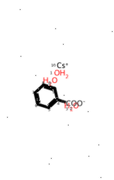 O.O.O.O=C([O-])c1ccccc1.[Cs+]